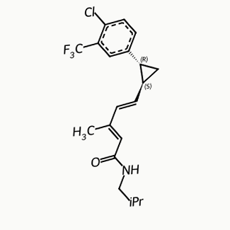 CC(C=C[C@@H]1C[C@H]1c1ccc(Cl)c(C(F)(F)F)c1)=CC(=O)NCC(C)C